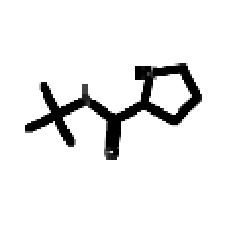 CC(C)(C)NC(=O)C1CCCN1